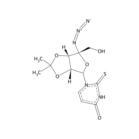 CC1(C)O[C@H]2C(n3ccc(=O)[nH]c3=S)O[C@@](CO)(N=[N+]=[N-])[C@H]2O1